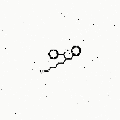 CCCCCCC(=Cc1ccccc1)C(O)c1ccccc1